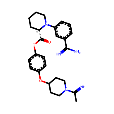 CC(=N)N1CCC(Oc2ccc(OC(=O)[C@@H]3CCCCN3c3cccc(C(=N)N)c3)cc2)CC1